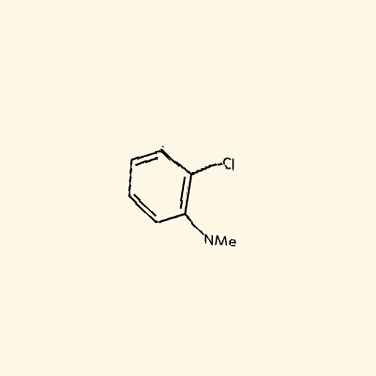 CNc1ccc[c]c1Cl